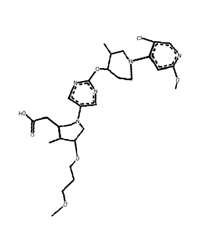 COCCCOC1CN(c2cnc(OC3CCN(c4cc(OC)ncc4Cl)CC3C)nc2)C(CC(=O)O)C1C